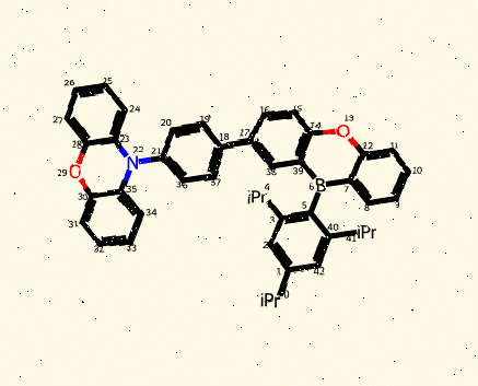 CC(C)c1cc(C(C)C)c(B2c3ccccc3Oc3ccc(-c4ccc(N5c6ccccc6Oc6ccccc65)cc4)cc32)c(C(C)C)c1